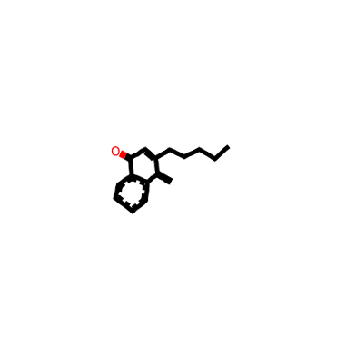 C=C1C(CCCCC)=CC(=O)c2ccccc21